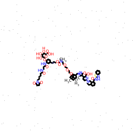 Cc1c(-c2ccc(N3CCc4cccc(C(=O)Nc5nc6ccccc6s5)c4C3)nc2C(=O)O)cnn1CC12CC3(C)CC4(C)CC(OCCOCCOCCN(C)C(=O)OC/C=C/c5ccc(O[C@@H]6O[C@H](C(=O)O)[C@@H](O)[C@H](O)[C@@H]6O)c(NC(=O)CCNC(=O)CCCCCN6C(=O)C=CC6=O)c5)(C1)C34C2